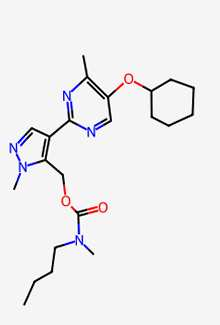 CCCCN(C)C(=O)OCc1c(-c2ncc(OC3CCCCC3)c(C)n2)cnn1C